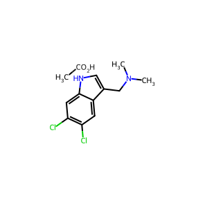 CC(=O)O.CN(C)Cc1c[nH]c2cc(Cl)c(Cl)cc12